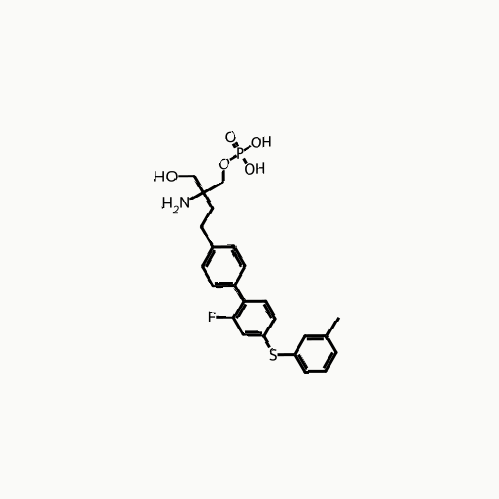 Cc1cccc(Sc2ccc(-c3ccc(CCC(N)(CO)COP(=O)(O)O)cc3)c(F)c2)c1